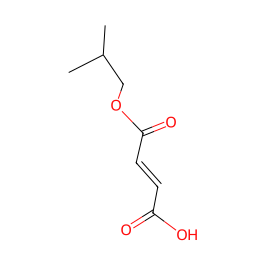 CC(C)COC(=O)C=CC(=O)O